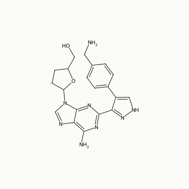 NCc1ccc(-c2c[nH]nc2-c2nc(N)c3ncn(C4[CH]CC(CO)O4)c3n2)cc1